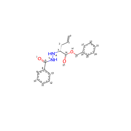 C=CC[C@@H](NNC(=O)c1ccccc1)C(=O)OCc1ccccc1